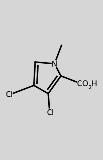 Cn1cc(Cl)c(Cl)c1C(=O)O